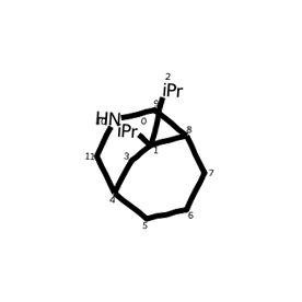 CC(C)C1(C(C)C)CC2CCCC1CNC2